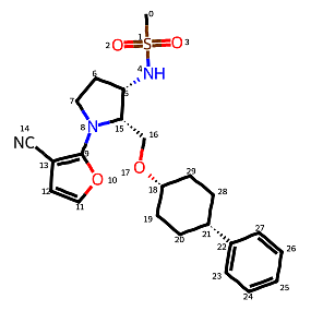 CS(=O)(=O)N[C@H]1CCN(c2occc2C#N)[C@H]1CO[C@H]1CC[C@@H](c2ccccc2)CC1